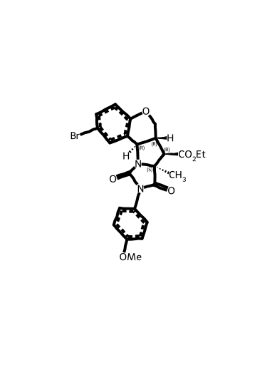 CCOC(=O)[C@@H]1[C@H]2COc3ccc(Br)cc3[C@@H]2N2C(=O)N(c3ccc(OC)cc3)C(=O)[C@]12C